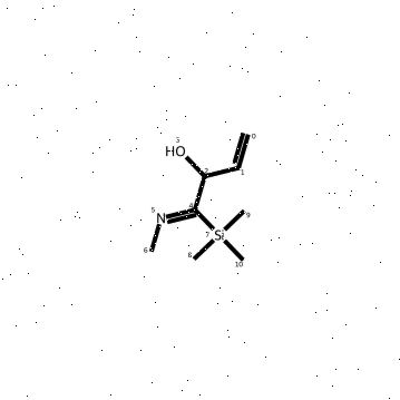 C=CC(O)C(=NC)[Si](C)(C)C